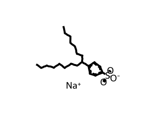 CCCCCCCCC(CCCCCCC)c1ccc(S(=O)(=O)[O-])cc1.[Na+]